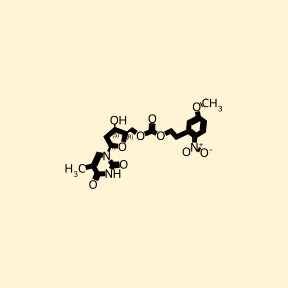 COc1ccc([N+](=O)[O-])c(CCOC(=O)OC[C@H]2O[C@@H](n3cc(C)c(=O)[nH]c3=O)C[C@@H]2O)c1